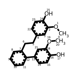 COc1cc(CCc2ccccc2-c2ccc(O)c(OC)c2)ccc1O